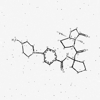 CN1CCN(c2ccc(C(=O)NC3(C(=O)N4CC[C@H]5OCC(=O)[C@H]54)CCCC3)cc2)CC1